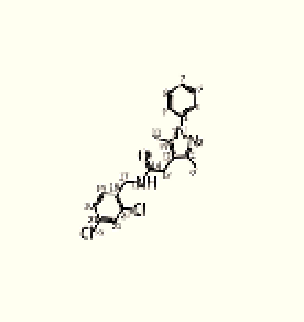 Cc1nn(-c2ccccc2)c(C)c1CC(=O)NCc1ccc(Cl)cc1Cl